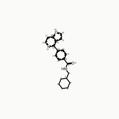 O=C(NCC1CCCCC1)c1ccc(-c2nccc3occc23)cc1